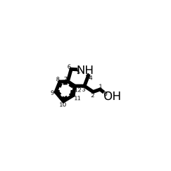 OCCC1CNCc2ccccc21